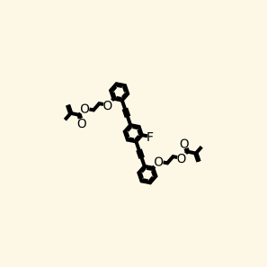 C=C(C)C(=O)OCCOc1ccccc1C#Cc1ccc(C#Cc2ccccc2OCCOC(=O)C(=C)C)c(F)c1